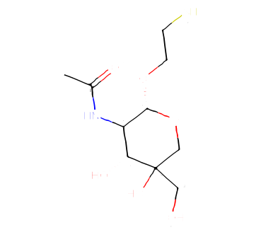 CC(=O)NC1[C@H](OCCS)OCC(O)(CO)[C@@H]1O